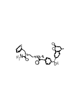 Cc1cc(=O)oc2cc(C(O)c3ccc(C(=O)NCCN(Cc4cccs4)C(N)=O)cc3)ccc12